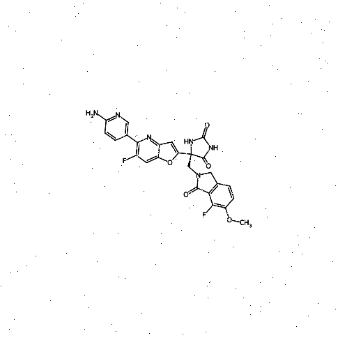 COc1ccc2c(c1F)C(=O)N(C[C@@]1(c3cc4nc(-c5ccc(N)nc5)c(F)cc4o3)NC(=O)NC1=O)C2